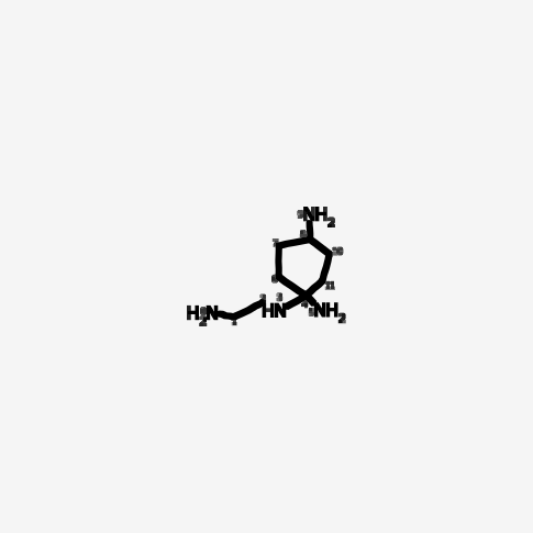 NCCNC1(N)CCC(N)CC1